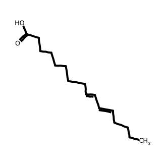 CCCCC=CC=CCCCCCCCC(=O)O